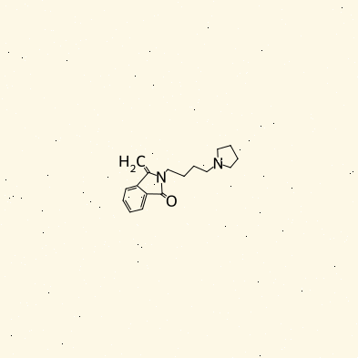 C=C1c2ccccc2C(=O)N1CCCCN1CCCC1